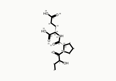 CCC(O)C(=O)N1CCC[C@H]1C(=O)N[C@@H](CCC(=O)O)C(=O)O